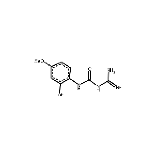 CCCc1cc(OC)ccc1NC(=O)NC(=N)N